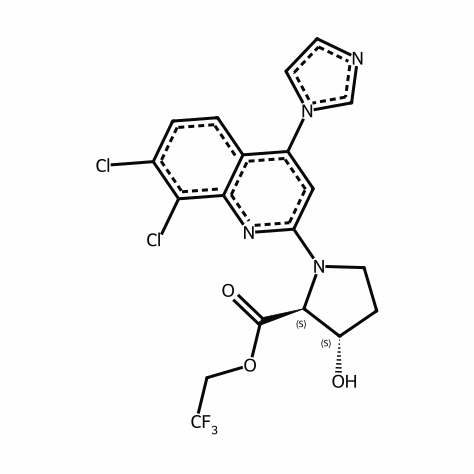 O=C(OCC(F)(F)F)[C@@H]1[C@@H](O)CCN1c1cc(-n2ccnc2)c2ccc(Cl)c(Cl)c2n1